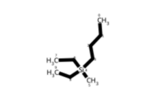 CCCC[Si](C)(CC)CC